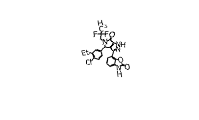 CCc1cc(C2c3c(-c4cccc5[nH]c(=O)oc45)n[nH]c3C(=O)N2CC(C)(F)F)ccc1Cl